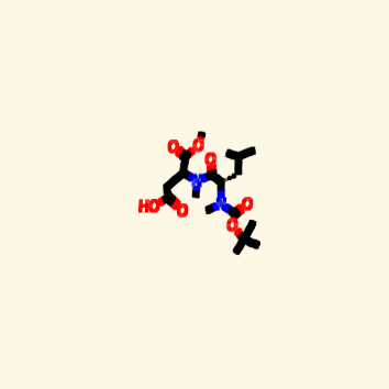 COC(=O)C(CC(=O)O)N(C)C(=O)[C@H](CC(C)C)N(C)C(=O)OC(C)(C)C